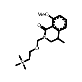 COc1cccc2c1C(=O)N(COCC[Si](C)(C)C)CC2C